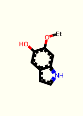 CCOc1cc2[nH]ccc2cc1O